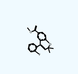 C=C(OC)c1ccc2c(c1)C(c1ccccc1F)=CC(C)(C)O2